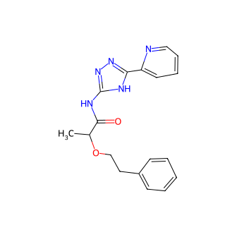 CC(OCCc1ccccc1)C(=O)Nc1nnc(-c2ccccn2)[nH]1